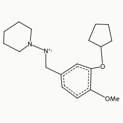 COc1ccc(C[N+]N2CCCCC2)cc1OC1CCCC1